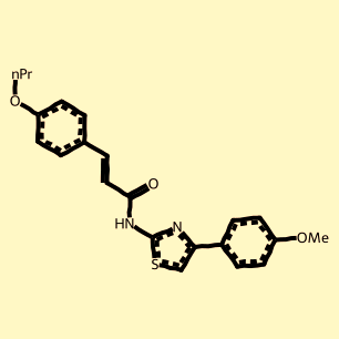 CCCOc1ccc(C=CC(=O)Nc2nc(-c3ccc(OC)cc3)cs2)cc1